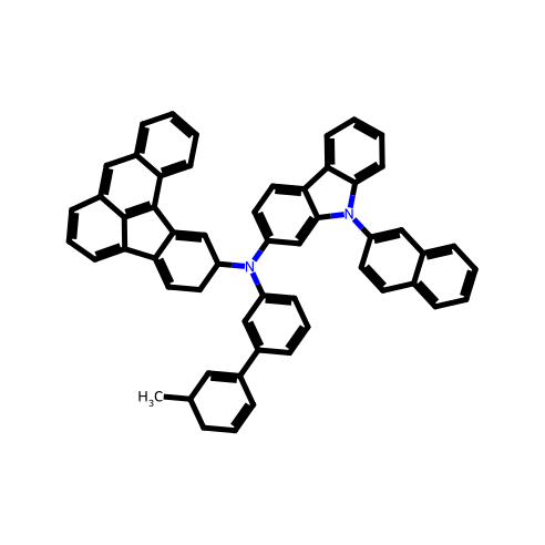 CC1C=C(c2cccc(N(c3ccc4c5ccccc5n(-c5ccc6ccccc6c5)c4c3)C3C=C4C(=CC3)c3cccc5cc6ccccc6c4c35)c2)C=CC1